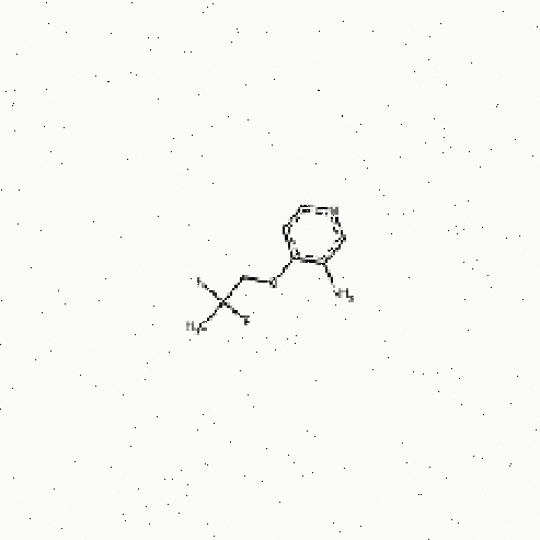 CC(F)(F)COc1ccncc1N